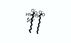 CCCCCCCCCC(S)C(=O)[O-].CCCCCCCCCC(S)C(=O)[O-].[CH3][Sn+2][CH3]